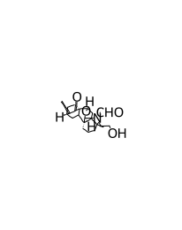 C=C1C(=O)[C@]23CC[C@H]1CC2[C@]12CCCC(C)(C)C1C[C@H]3O[C@H]2N(C=O)CCO